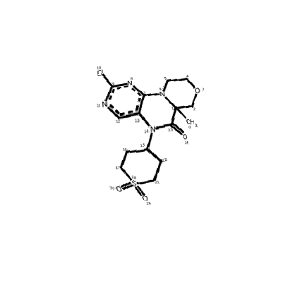 CC12COCCN1c1nc(Cl)ncc1N(C1CCS(=O)(=O)CC1)C2=O